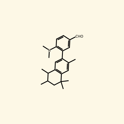 Cc1cc2c(cc1-c1cc(C=O)ccc1N(C)C)C(C)C(C)CC2(C)C